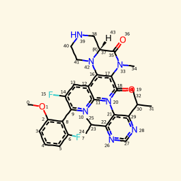 COc1cccc(F)c1-c1nc2c(cc1F)c1c(c(=O)n2-c2c(C(C)C)ncnc2C(C)C)N(C)C(=O)[C@H]2CNCCN12